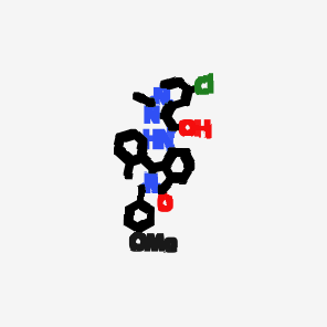 COc1ccc(CN2C(=O)c3cccc(NC(O)c4nc(C)n5ccc(Cl)cc45)c3C2c2ccccc2C)cc1